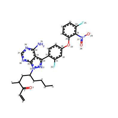 C=CC(=O)C(C)CC(CCCC)n1nc(-c2ccc(Oc3cccc(F)c3[N+](=O)[O-])cc2F)c2c(N)ncnc21